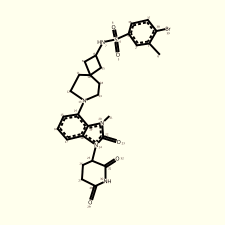 Cc1cc(S(=O)(=O)NC2CC3(CCN(c4cccc5c4n(C)c(=O)n5C4CCC(=O)NC4=O)CC3)C2)ccc1Br